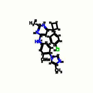 COc1cc(Nc2cc(C3(c4ccc(Cl)cc4)CCC3)nc(C)n2)ccc1-n1cnc(C)c1